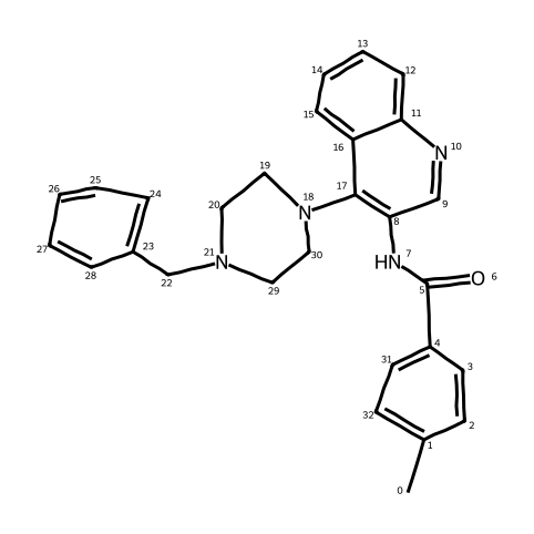 Cc1ccc(C(=O)Nc2cnc3ccccc3c2N2CCN(Cc3ccccc3)CC2)cc1